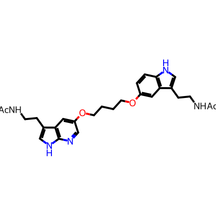 CC(=O)NCCc1c[nH]c2ccc(OCCCCOc3cnc4[nH]cc(CCNC(C)=O)c4c3)cc12